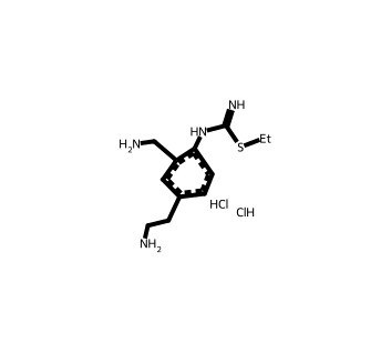 CCSC(=N)Nc1ccc(CCN)cc1CN.Cl.Cl